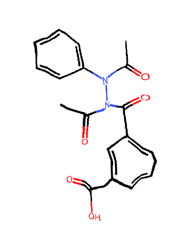 CC(=O)N(C(=O)c1cccc(C(=O)O)c1)N(C(C)=O)c1ccccc1